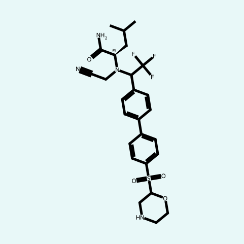 CC(C)C[C@H](C(N)=O)N(CC#N)C(c1ccc(-c2ccc(S(=O)(=O)C3CNCCO3)cc2)cc1)C(F)(F)F